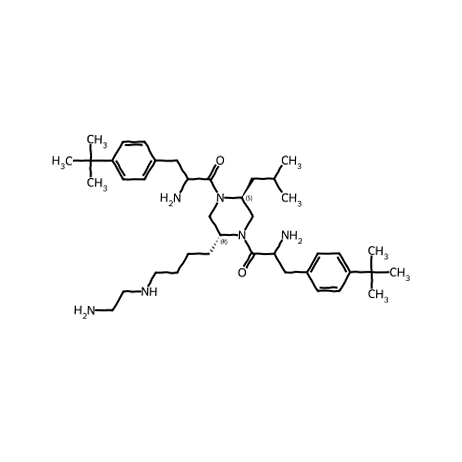 CC(C)C[C@H]1CN(C(=O)C(N)Cc2ccc(C(C)(C)C)cc2)[C@H](CCCCNCCN)CN1C(=O)C(N)Cc1ccc(C(C)(C)C)cc1